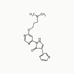 CN(C)CCCOc1cc(-n2[nH]cc(-c3cccnc3)c2=O)ncn1